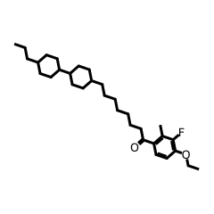 CCCC1CCC(C2CCC(CCCCCCCC(=O)c3ccc(OCC)c(F)c3C)CC2)CC1